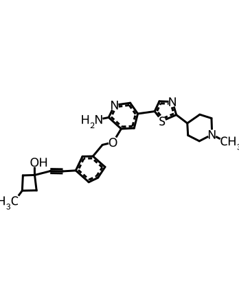 CC1CC(O)(C#Cc2cccc(COc3cc(-c4cnc(C5CCN(C)CC5)s4)cnc3N)c2)C1